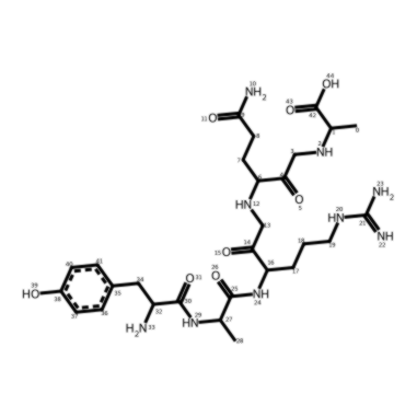 CC(NCC(=O)C(CCC(N)=O)NCC(=O)C(CCCNC(=N)N)NC(=O)C(C)NC(=O)C(N)Cc1ccc(O)cc1)C(=O)O